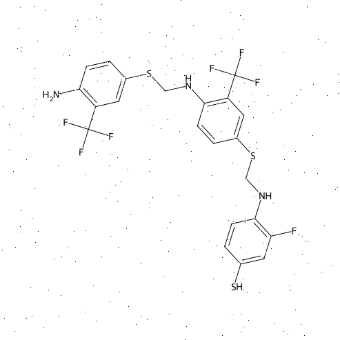 Nc1ccc(SCNc2ccc(SCNc3ccc(S)cc3F)cc2C(F)(F)F)cc1C(F)(F)F